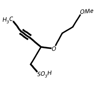 CC#CC(CS(=O)(=O)O)OCCOC